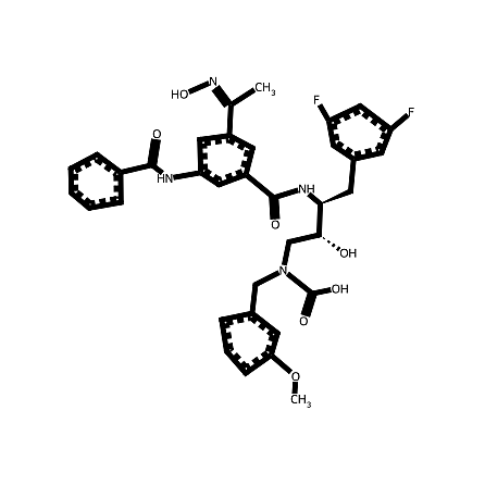 COc1cccc(CN(C[C@@H](O)[C@H](Cc2cc(F)cc(F)c2)NC(=O)c2cc(NC(=O)c3ccccc3)cc(/C(C)=N\O)c2)C(=O)O)c1